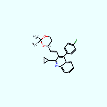 CC1(C)OCC[C@@H](C=Cc2c(C3CC3)nc3ccccc3c2-c2ccc(F)cc2)O1